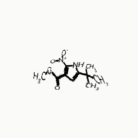 COC(=O)c1cc(C(C)(C)C)[nH]c1[N+](=O)[O-]